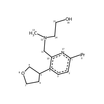 CC(C)c1ccc(C2CCOC2)c(CN(C)CCO)n1